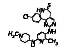 Cc1nc(NC2CCN(C)CC2)ccc1Nc1ncc2c(n1)-c1ccc(Cl)cc1NC(=S)C2